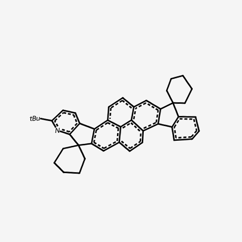 CC(C)(C)c1ccc2c(n1)C1(CCCCC1)c1cc3ccc4c5c(cc6ccc(c1-2)c3c64)C1(CCCCC1)c1ccccc1-5